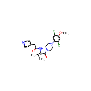 COc1cc(Cl)c(N2CCN(C(=O)[C@H](NC(=O)Cc3ccncc3)C(C)C)CC2)cc1Cl